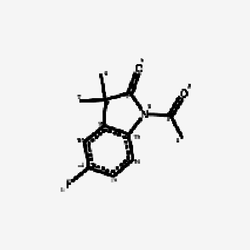 CC(=O)N1C(=O)C(C)(C)c2cc(F)ccc21